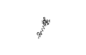 C=CC(=O)SCCCCCCn1ccc(=S)[nH]c1=S